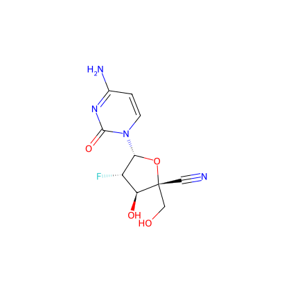 N#C[C@]1(CO)O[C@@H](n2ccc(N)nc2=O)[C@@H](F)[C@@H]1O